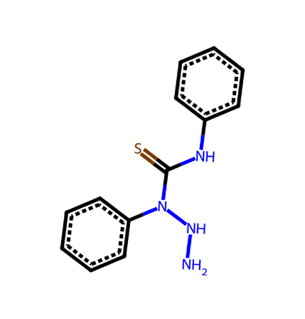 NNN(C(=S)Nc1ccccc1)c1ccccc1